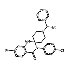 CCC(c1ccccc1)N1CCC2(CC1)Nc1cc(Br)ccc1C(=O)N2c1ccc(Cl)cc1